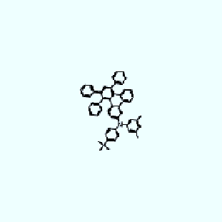 Cc1cc(C)cc(N(c2ccc(C(C)(C)C)cc2)c2ccc3c(c2)c2ccccc2c2c(-c4ccccc4)cc(-c4ccccc4)c(-c4ccccc4)c32)c1